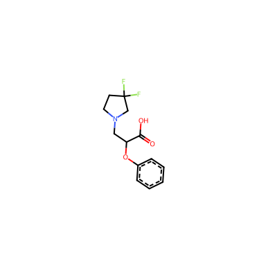 O=C(O)C(CN1CCC(F)(F)C1)Oc1ccccc1